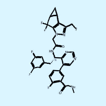 CNC(=O)c1cc(-c2cncnc2[C@H](Cc2cc(F)cc(F)c2)NC(=O)Cn2nc(CF)c3c2C(F)(F)C2CC32)ccc1F